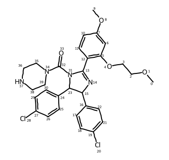 COCCOc1cc(OC)ccc1C1=NC(c2ccc(Cl)cc2)C(c2ccc(Cl)cc2)N1C(=O)N1CCNCC1